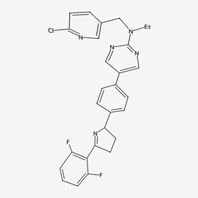 CCN(Cc1ccc(Cl)nc1)c1ncc(-c2ccc(C3CCC(c4c(F)cccc4F)=N3)cc2)cn1